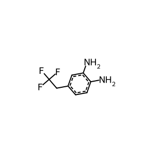 Nc1ccc(CC(F)(F)F)cc1N